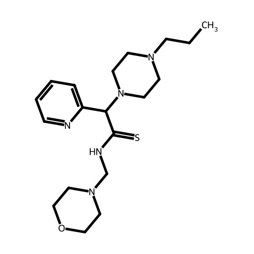 CCCN1CCN(C(C(=S)NCN2CCOCC2)c2ccccn2)CC1